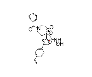 C=Cc1ccc(-c2ccc(C3(CC(=O)NO)CCN(C(=O)c4ccccc4)CCS3(=O)=O)s2)cc1